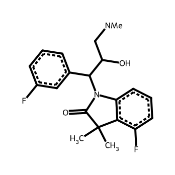 CNCC(O)C(c1cccc(F)c1)N1C(=O)C(C)(C)c2c(F)cccc21